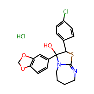 Cl.OC1(c2ccc3c(c2)OCO3)C(c2ccc(Cl)cc2)SC2=NCCCCN21